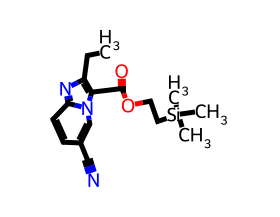 CCc1nc2ccc(C#N)cn2c1C(=O)OCC[Si](C)(C)C